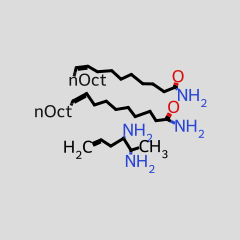 C=CCC(N)C(C)N.CCCCCCCC/C=C\CCCCCCCC(N)=O.CCCCCCCC/C=C\CCCCCCCC(N)=O